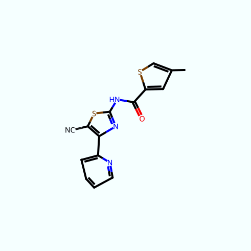 Cc1csc(C(=O)Nc2nc(-c3ccccn3)c(C#N)s2)c1